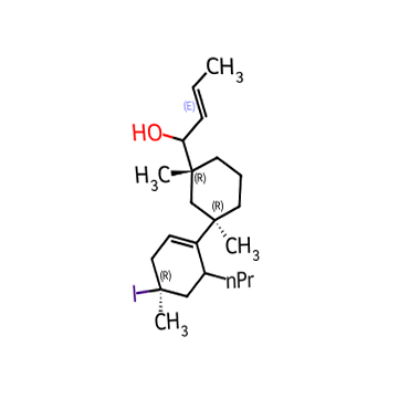 C/C=C/C(O)[C@]1(C)CCC[C@@](C)(C2=CC[C@](C)(I)CC2CCC)C1